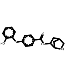 O=C(NC1CC2CNC1C2)c1ccc(Sc2ccccc2O)cc1